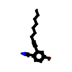 CCCCCCCC#Cc1cc(Br)ccc1C#N